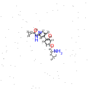 CC(C)CC(N)COc1ccc2c(c1)OCc1cnc(NC(=O)C3CC3)cc1-2